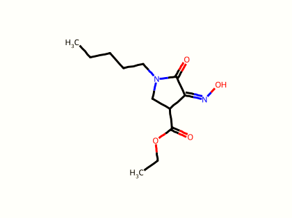 CCCCCN1CC(C(=O)OCC)C(=NO)C1=O